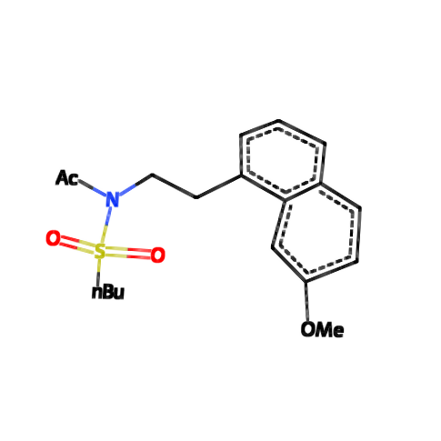 CCCCS(=O)(=O)N(CCc1cccc2ccc(OC)cc12)C(C)=O